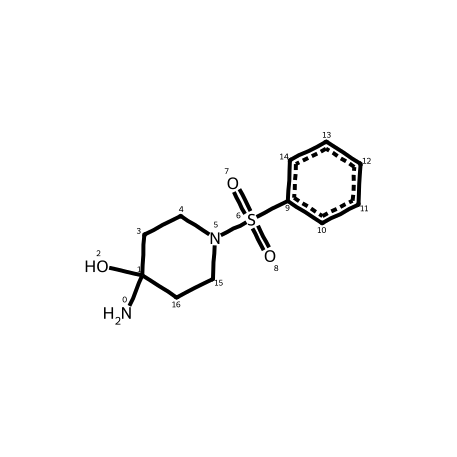 NC1(O)CCN(S(=O)(=O)c2ccccc2)CC1